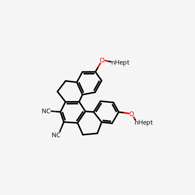 CCCCCCCOc1ccc2c(c1)CCc1c(C#N)c(C#N)c3c(c1-2)-c1ccc(OCCCCCCC)cc1CC3